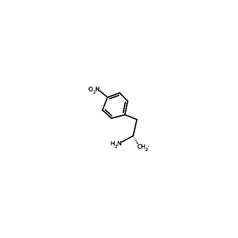 [CH2][C@H](N)Cc1ccc([N+](=O)[O-])cc1